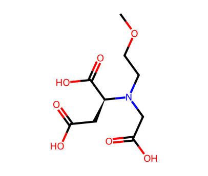 COCCN(CC(=O)O)[C@@H](CC(=O)O)C(=O)O